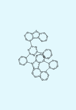 c1ccc(-c2nc(-c3ccccc3-n3c4cccc5c4c4c6c(cccc6ccc43)-c3ccccc3-5)nc(-c3cccc4sc5ccccc5c34)n2)cc1